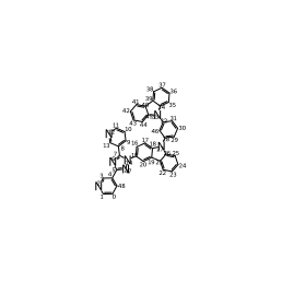 c1cncc(-c2nc(-c3cccnc3)n(-c3ccc4c(c3)c3ccccc3n4-c3cccc(-n4c5ccccc5c5ccccc54)c3)n2)c1